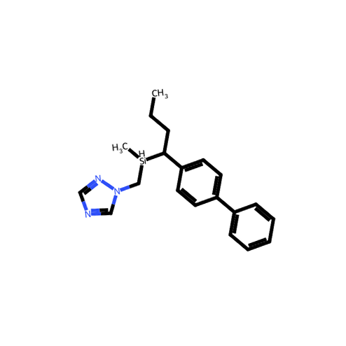 CCCC(c1ccc(-c2ccccc2)cc1)[SiH](C)Cn1cncn1